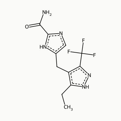 CCc1[nH]nc(C(F)(F)F)c1Cc1cnc(C(N)=O)[nH]1